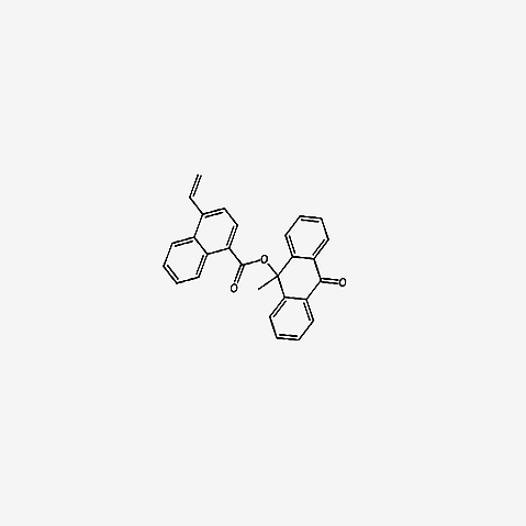 C=Cc1ccc(C(=O)OC2(C)c3ccccc3C(=O)c3ccccc32)c2ccccc12